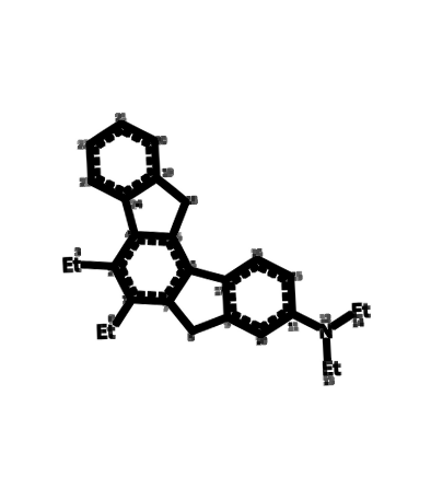 CCc1c(CC)c2c(c3c1Cc1cc(N(CC)CC)ccc1-3)Cc1ccccc1-2